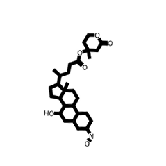 CC(CCC(=O)OC1(C)CCOC(=O)C1)C1CCC2C3C(O)CC4CC(N=O)CCC4C3CCC12C